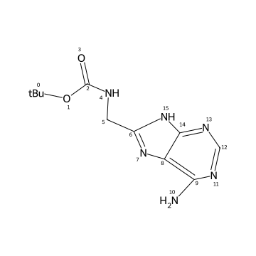 CC(C)(C)OC(=O)NCc1nc2c(N)ncnc2[nH]1